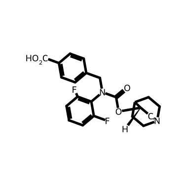 O=C(O)c1ccc(CN(C(=O)O[C@H]2CN3CCC2CC3)c2c(F)cccc2F)cc1